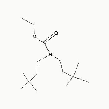 CCOC(=O)N(CCC(C)(C)C)CCC(C)(C)C